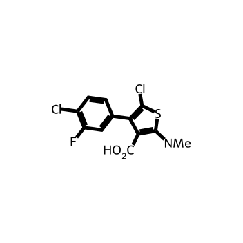 CNc1sc(Cl)c(-c2ccc(Cl)c(F)c2)c1C(=O)O